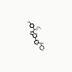 COC(c1ccc(Cl)cc1)c1nnc2cc(-c3ccnc(NC4CCOCC4)n3)cnn12